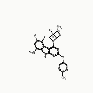 CNc1cc(F)c(F)c2c1[nH]c1nc(Oc3cnc(C)nc3)nc(N3C[C@H]4C3C[C@H]4N)c12